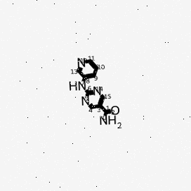 NC(=O)c1cnc(Nc2cccnc2)nc1